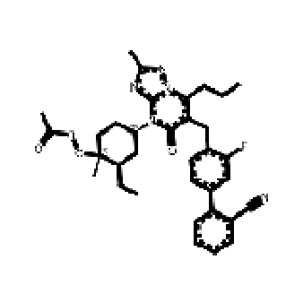 CCCc1c(Cc2ccc(-c3ccccc3C#N)cc2F)c(=O)n([C@@H]2CC[C@@](C)(OOC(C)=O)C(CC)C2)c2nc(C)nn12